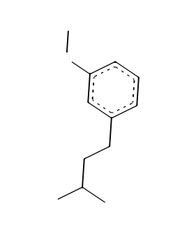 COc1cccc(CCC(C)C)c1